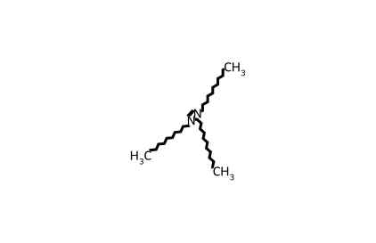 CCCCCCCCCCCC1N(CCCCCCCCCCC)C=CN1CCCCCCCCCCC